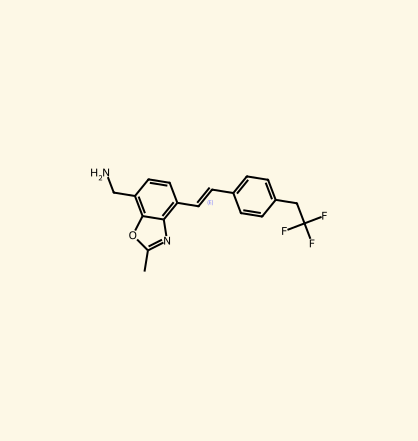 Cc1nc2c(/C=C/c3ccc(CC(F)(F)F)cc3)ccc(CN)c2o1